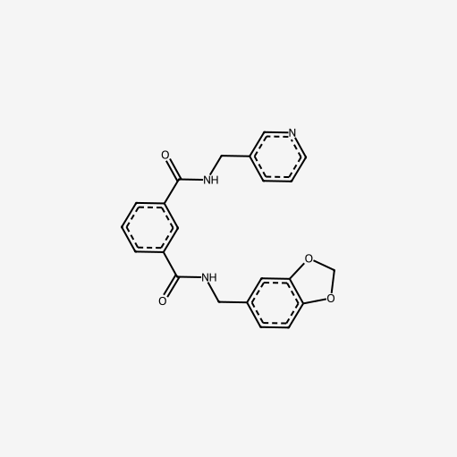 O=C(NCc1cccnc1)c1cccc(C(=O)NCc2ccc3c(c2)OCO3)c1